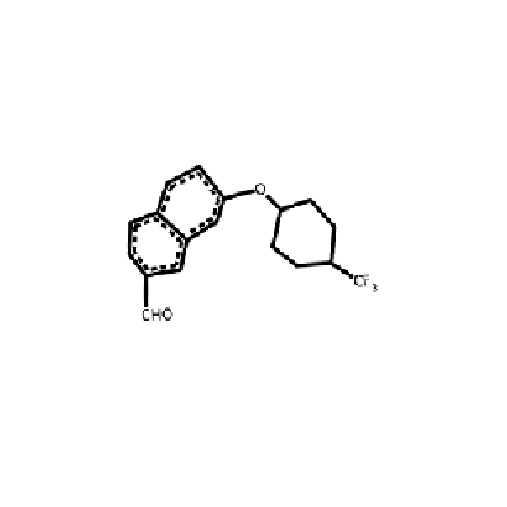 O=Cc1ccc2ccc(OC3CCC(C(F)(F)F)CC3)cc2c1